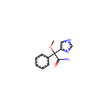 COC(C(N)=O)(c1ccccc1)c1c[nH]cn1